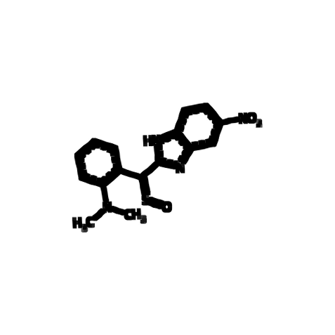 CN(C)c1ccccc1C(=S=O)c1nc2cc([N+](=O)[O-])ccc2[nH]1